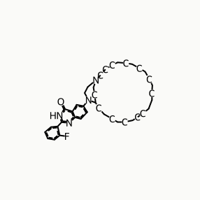 O=c1[nH]c(-c2ccccc2F)nc2ccc(N3CCN4CCCCCCCCCCCCCCCCCCCCCC3CC4)cc12